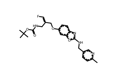 Cc1ccc(CNc2nc3ccc(OC/C(=C/F)CNC(=O)OC(C)(C)C)cc3o2)cn1